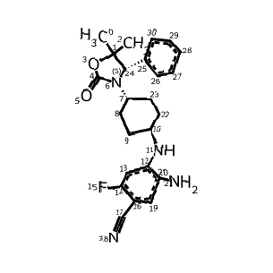 CC1(C)OC(=O)N([C@H]2CC[C@H](Nc3cc(F)c(C#N)cc3N)CC2)[C@H]1c1ccccc1